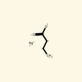 [Ag+].[CH2]CCC(=O)[O-]